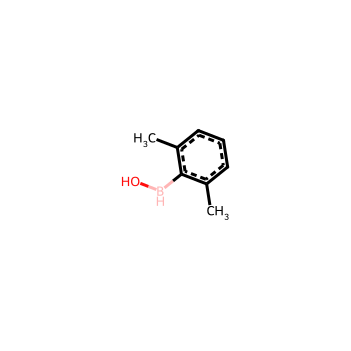 Cc1cccc(C)c1BO